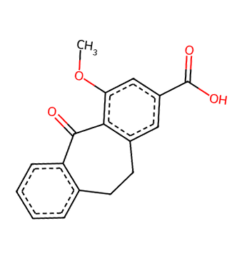 COc1cc(C(=O)O)cc2c1C(=O)c1ccccc1CC2